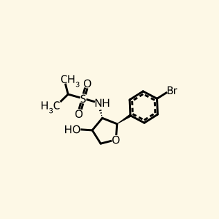 CC(C)S(=O)(=O)N[C@H]1C(O)CO[C@@H]1c1ccc(Br)cc1